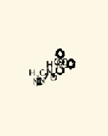 CC(Cn1ccnc1)NC(=O)[C@@H]1CC[C@H](c2ccccc2)N(S(=O)(=O)c2ccccc2)C1